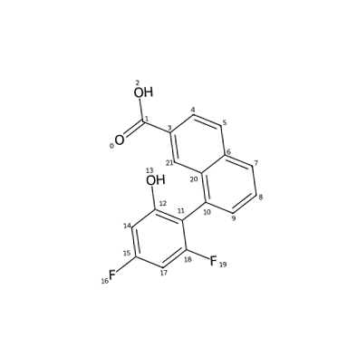 O=C(O)c1ccc2cccc(-c3c(O)cc(F)cc3F)c2c1